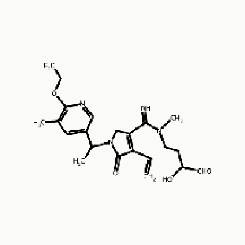 C=CC1=C(C(=N)N(C)CCC(O)C=O)CN(C(C)c2cnc(OCC(F)(F)F)c(C)c2)C1=O